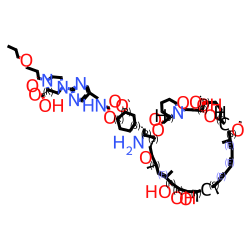 CCCOCCC(=O)N1CCN(c2ncc(CNC(=O)O[C@@H]3CC[C@@H](C[C@@H](N)[C@@H]4CC(=O)[C@H](C)/C=C(\C)[C@@H](O)[C@@H](O)C(=O)[C@H](C)C[C@H](C)/C=C/C=C/C=C(\C)[C@@H](OC)C[C@@H]5CC[C@@H](C)[C@@](O)(O5)C(=O)C(=O)N5CCCC[C@H]5C(=O)O4)C[C@H]3OC)cn2)C[C@@H]1C(=O)O